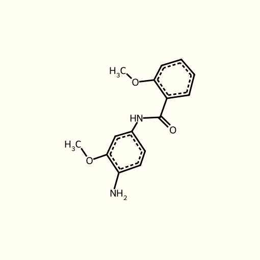 COc1cc(NC(=O)c2ccccc2OC)ccc1N